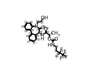 C[C@H](OC(=O)NCCC(F)(F)C(F)(F)F)C(=O)N[C@@H]1C(=O)N(CCO)c2ccccc2-c2ccccc21